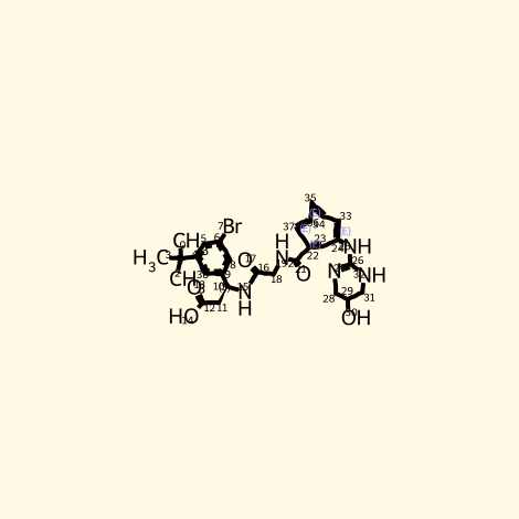 CC(C)(C)c1cc(Br)cc([C@H](CC(=O)O)NC(=O)CNC(=O)C2=C/C(NC3=NCC(O)CN3)=C\C=C\C=C\2)c1